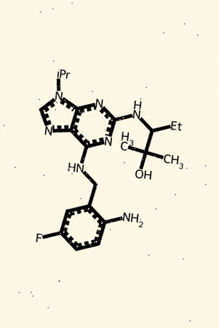 CCC(Nc1nc(NCc2cc(F)ccc2N)c2ncn(C(C)C)c2n1)C(C)(C)O